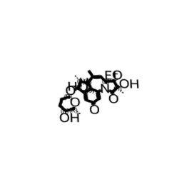 CC[C@@]12C=C(C)[C@@H]3[C@@H](C)[C@H](O[C@H]4CC[C@@H](O)[C@@H](C)O4)C4=CC(=O)C=C(N1C(=O)[C@](C)(O)C2=O)[C@@]43O